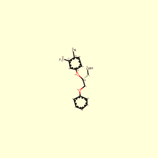 COC[C@H](COc1ccccc1)Oc1ccc(C#N)c(C(F)(F)F)c1